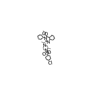 COc1ccccc1-n1c(C(C)N2CCN(S(=O)(=O)c3ccc(Cl)cc3)C(C)C2)nc2ccccc2c1=O